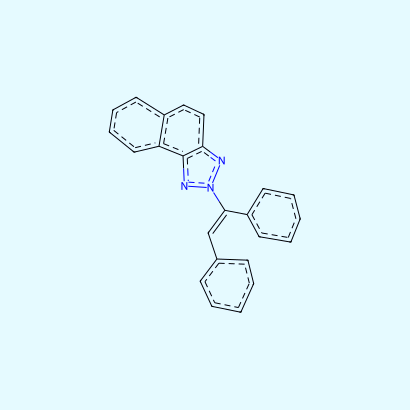 C(=C(c1ccccc1)n1nc2ccc3ccccc3c2n1)c1ccccc1